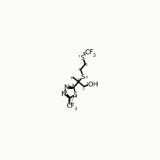 CC(CO)(SCCSC(F)(F)F)c1nnc(C(F)(F)F)s1